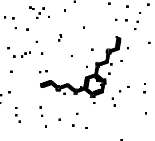 C=COCSc1cc(SCOC=C)ncn1